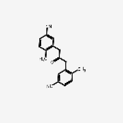 Cc1ccc(C#N)cc1CC(=O)Cc1cc(C#N)ccc1C